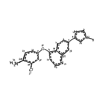 Cn1cnc(-c2ccc3c(Oc4ccc(N)c(Cl)c4)ccnc3c2)c1